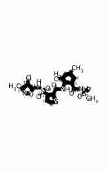 Cc1cc(C)c(NC(=O)c2sccc2S(=O)(=O)Nc2onc(C)c2Cl)c(C(=O)NS(C)(=O)=O)c1